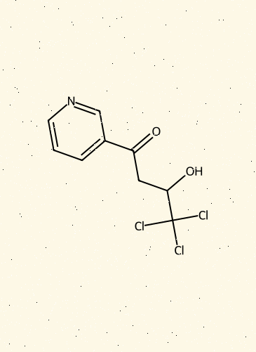 O=C(CC(O)C(Cl)(Cl)Cl)c1cccnc1